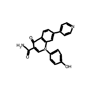 NC(=O)c1cn(-c2ccc(O)cc2)c2cc(-c3ccncc3)ccc2c1=O